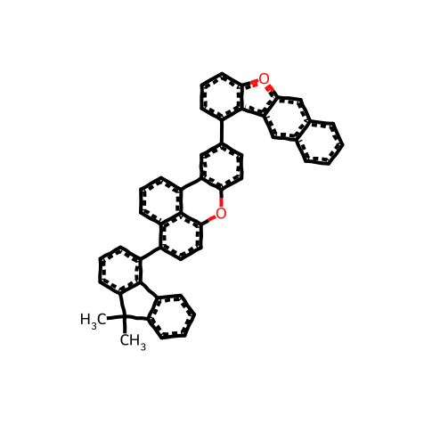 CC1(C)c2ccccc2-c2c(-c3ccc4c5c(cccc35)-c3cc(-c5cccc6oc7cc8ccccc8cc7c56)ccc3O4)cccc21